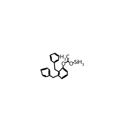 CC(O[SiH3])Oc1cccc(Cc2ccccc2)c1Cc1ccccc1